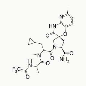 Cc1ccc2c(n1)NC(=O)[C@]1(C[C@@H](C(N)=O)N(C(=O)C(CC3CC3)N(C)C(=O)C(C)NC(=O)C(F)(F)F)C1)O2